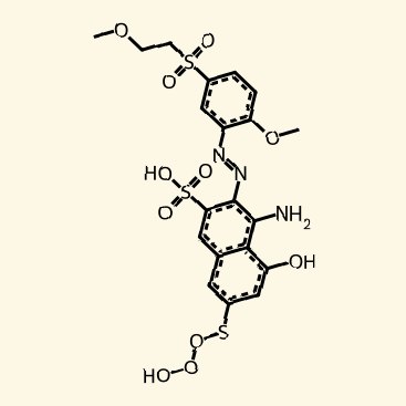 COCCS(=O)(=O)c1ccc(OC)c(N=Nc2c(S(=O)(=O)O)cc3cc(SOOO)cc(O)c3c2N)c1